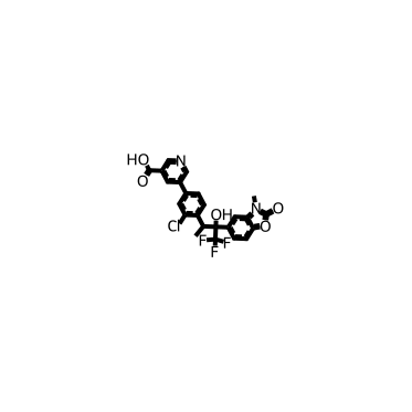 CC(c1ccc(-c2cncc(C(=O)O)c2)cc1Cl)C(O)(c1ccc2oc(=O)n(C)c2c1)C(F)(F)F